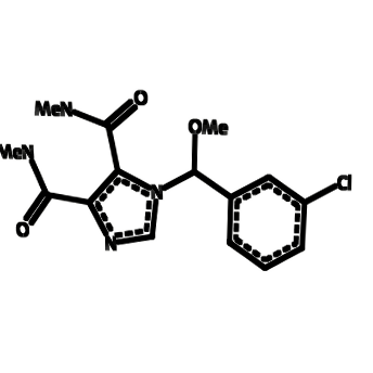 CNC(=O)c1ncn(C(OC)c2cccc(Cl)c2)c1C(=O)NC